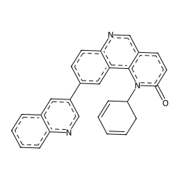 O=c1ccc2cnc3ccc(-c4cnc5ccccc5c4)cc3c2n1C1C=CC=CC1